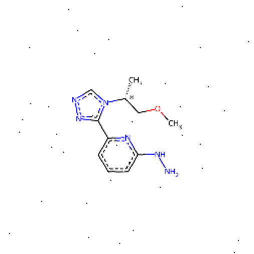 COC[C@@H](C)n1cnnc1-c1cccc(NN)n1